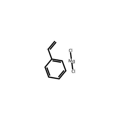 C=[C]c1ccccc1.[Cl][Mg][Cl]